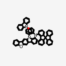 c1ccc(-n2c3cc4c(cc3c3cccc(N(c5ccc(-n6c7ccccc7c7ccccc76)cc5)c5cccc6c5-c5ccccc5C65c6ccccc6-c6ccccc65)c32)oc2ccccc24)cc1